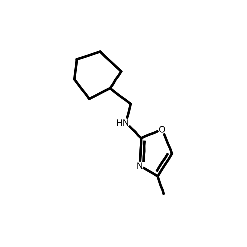 Cc1coc(NCC2CCCCC2)n1